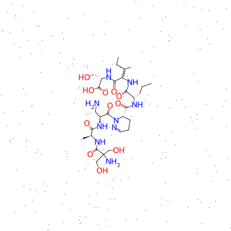 CCC[C@H](NC(=O)[C@@H]1CCC=NN1C(=O)[C@@H](NC(=O)[C@H](C)NC(=O)C(N)(CO)CO)[C@H](C)N)C(=O)N/C(C(=O)N[C@@H](CO)C(=O)O)=C(\C)CC